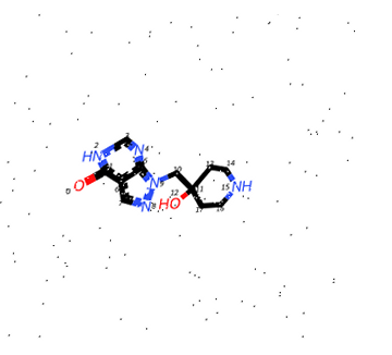 O=c1[nH]cnc2c1cnn2CC1(O)CCNCC1